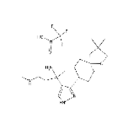 CNCCC(C)(N)c1c[nH]nc1[C@H]1CC[C@]2(CC1)CC(C)(C)CO2.O=C(O)C(F)(F)F